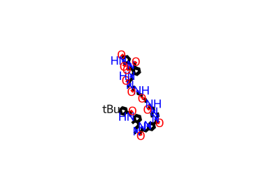 Cc1c(NC(=O)c2ccc(C(C)(C)C)cc2)cccc1-c1cn(C)c(=O)c(Cc2ccc(C(=O)N3CCN(CC(=O)NCCOCCNC(=O)CN(C)C(=O)CNc4cccc5c4C(=O)N(C4CCC(=O)NC4=O)C5=O)CC3)cn2)n1